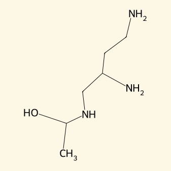 CC(O)NCC(N)CCN